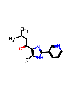 Cc1[nH]c(-c2cccnc2)nc1C(=O)CC(C)C